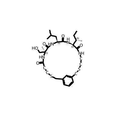 CC[C@H](C)[C@@H]1NC(=O)[C@H](CC(C)C)NC(=O)[C@](C)(CO)NC(=O)CCSCc2cccc(c2)CSCCNC1=O